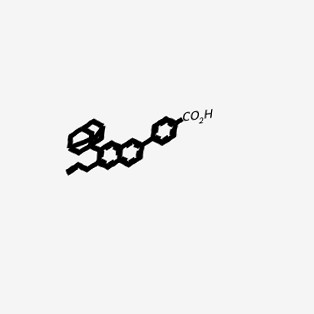 C=CCc1cc2ccc(-c3ccc(C(=O)O)cc3)cc2cc1C12CC3CC(CC(C3)C1)C2